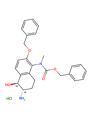 CN(C(=O)OCc1ccccc1)c1c(OCc2ccccc2)ccc2c1CC[C@H](N)[C@H]2O.Cl